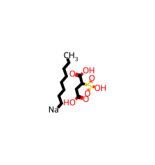 CCCCCCC[CH2][Na].O=C(O)CC(C(=O)O)S(=O)(=O)O